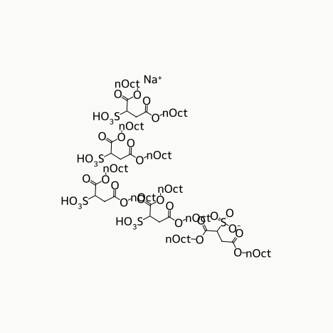 CCCCCCCCOC(=O)CC(C(=O)OCCCCCCCC)S(=O)(=O)O.CCCCCCCCOC(=O)CC(C(=O)OCCCCCCCC)S(=O)(=O)O.CCCCCCCCOC(=O)CC(C(=O)OCCCCCCCC)S(=O)(=O)O.CCCCCCCCOC(=O)CC(C(=O)OCCCCCCCC)S(=O)(=O)O.CCCCCCCCOC(=O)CC(C(=O)OCCCCCCCC)S(=O)(=O)[O-].[Na+]